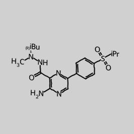 CC[C@@H](C)N(C)NC(=O)c1nc(-c2ccc(S(=O)(=O)C(C)C)cc2)cnc1N